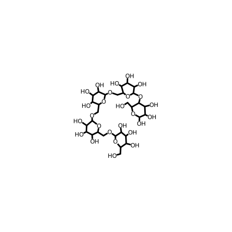 OCC1OC(OCC2OC(OCC3OC(OCC4OC(OC5C(CO)OC(O)C(O)C5O)C(O)C(O)C4O)C(O)C(O)C3O)C(O)C(O)C2O)C(O)C(O)C1O